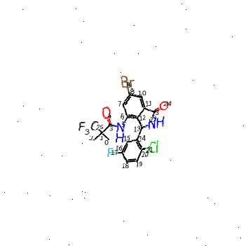 CC(C)(C(=O)Nc1cc(Br)cc2c1C(c1cc(F)ccc1Cl)NC2=O)C(F)(F)F